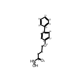 O=C(CCCOc1ccc(-c2ccccc2)cc1)NO